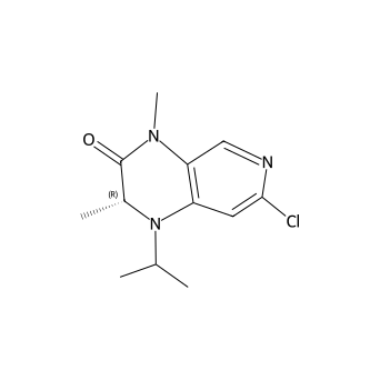 CC(C)N1c2cc(Cl)ncc2N(C)C(=O)[C@H]1C